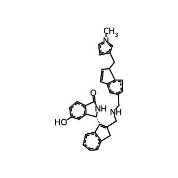 Cn1ccc(CC2C=Cc3cc(CNCC4=C([C@H]5NC(=O)c6ccc(O)cc65)c5ccccc5C4)ccc32)c1